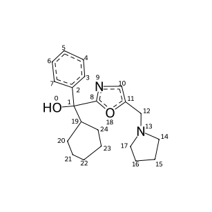 OC(c1ccccc1)(c1ncc(CN2CCCC2)o1)C1CCCCC1